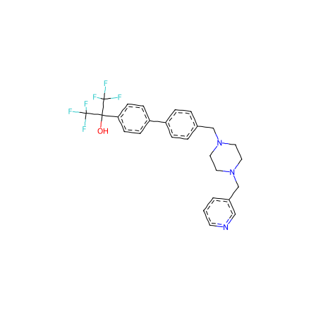 OC(c1ccc(-c2ccc(CN3CCN(Cc4cccnc4)CC3)cc2)cc1)(C(F)(F)F)C(F)(F)F